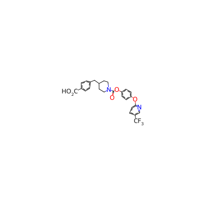 O=C(O)c1ccc(CC2CCN(C(=O)Oc3ccc(Oc4ccc(C(F)(F)F)cn4)cc3)CC2)cc1